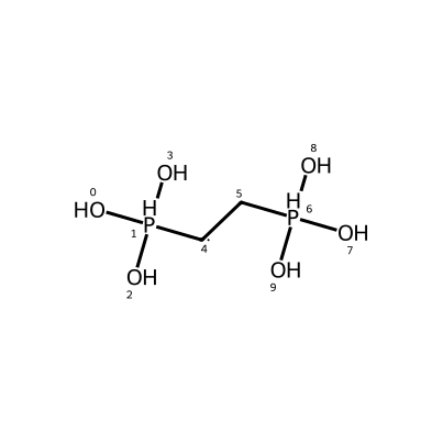 O[PH](O)(O)[CH]C[PH](O)(O)O